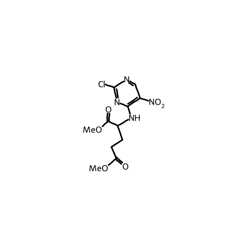 COC(=O)CCC(Nc1nc(Cl)ncc1[N+](=O)[O-])C(=O)OC